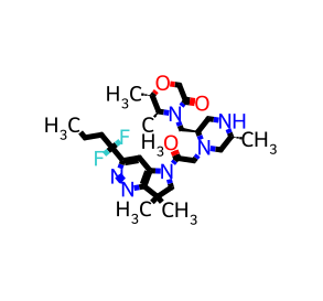 CCCC(F)(F)c1cc2c(nn1)C(C)(C)CN2C(=O)CN1C[C@@H](C)NC[C@@H]1CN1C(=O)CO[C@@H](C)[C@H]1C